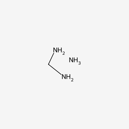 N.NCN